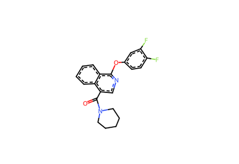 O=C(c1cnc(Oc2ccc(F)c(F)c2)c2ccccc12)N1CCCCC1